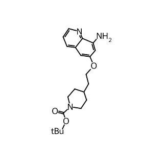 CC(C)(C)OC(=O)N1CCC(CCOc2cc(N)c3ncccc3c2)CC1